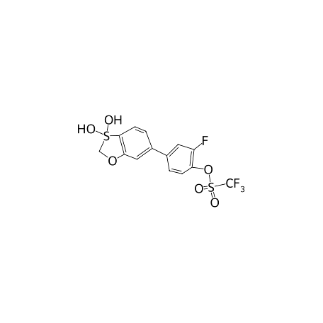 O=S(=O)(Oc1ccc(-c2ccc3c(c2)OCS3(O)O)cc1F)C(F)(F)F